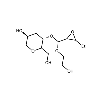 CCC1OC1[C@H](OCCO)O[C@H]1C[C@H](O)COC1CO